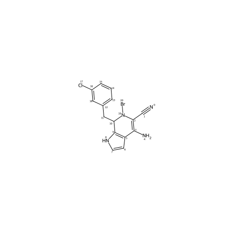 N#CC1=C(N)c2cc[nH]c2C(Cc2cccc(Cl)c2)N1Br